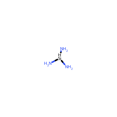 N[SiH](N)N